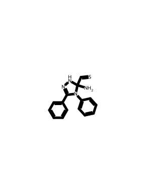 NC1(C=S)NN=C(c2ccccc2)N1c1ccccc1